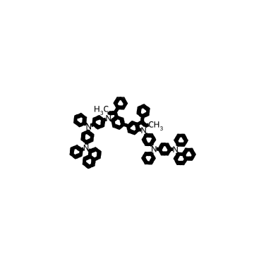 Cc1c(-c2ccccc2)c2cc(-c3ccc4c(c3)c(-c3ccccc3)c(C)n4-c3ccc(N(c4ccccc4)c4ccc(N(c5ccccc5)c5cccc6ccccc56)cc4)cc3)ccc2n1-c1ccc(N(c2ccccc2)c2ccc(N(c3ccccc3)c3cccc4ccccc34)cc2)cc1